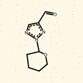 O=Cc1cnn(C2CCCCO2)n1